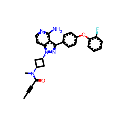 CC#CC(=O)N(C)[C@H]1C[C@@H](n2nc(-c3ccc(Oc4ccccc4F)cc3)c3c(N)nccc32)C1